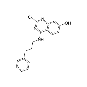 Oc1ccc2c(NCCCc3ccccc3)nc(Cl)nc2c1